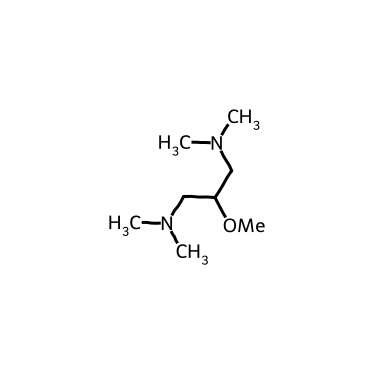 COC(CN(C)C)CN(C)C